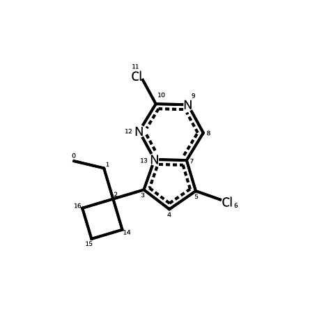 CCC1(c2cc(Cl)c3cnc(Cl)nn23)CCC1